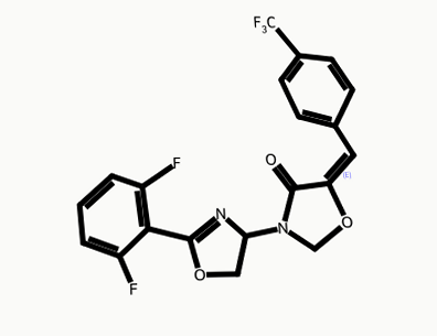 O=C1/C(=C\c2ccc(C(F)(F)F)cc2)OCN1C1COC(c2c(F)cccc2F)=N1